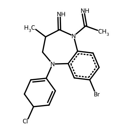 CC(=N)N1C(=N)C(C)CN(C2=CCC(Cl)C=C2)c2cc(Br)ccc21